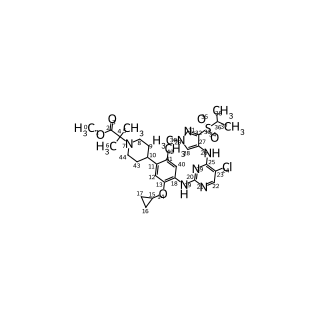 COC(=O)C(C)(C)N1CCC(c2cc(OC3CC3)c(Nc3ncc(Cl)c(Nc4cn(C)nc4S(=O)(=O)C(C)C)n3)cc2C)CC1